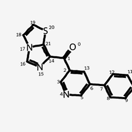 O=C(c1cncc(-c2ccccc2)c1)c1ncn2ccsc12